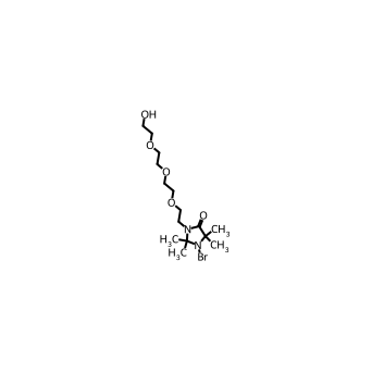 CC1(C)C(=O)N(CCOCCOCCOCCO)C(C)(C)N1Br